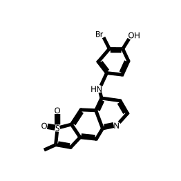 CC1=Cc2cc3nccc(Nc4ccc(O)c(Br)c4)c3cc2S1(=O)=O